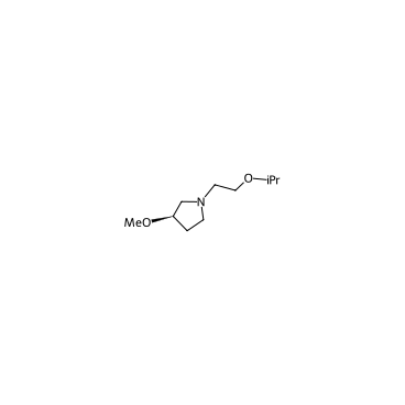 CO[C@@H]1CCN(CCOC(C)C)C1